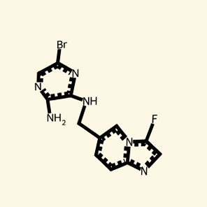 Nc1ncc(Br)nc1NCc1ccc2ncc(F)n2c1